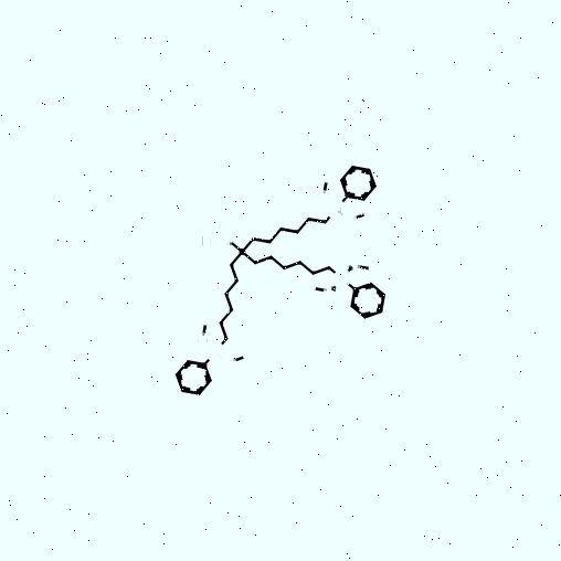 CO[Si](CCCCCCC([SiH3])(CCCCCC[Si](OC)(OC)c1ccccc1)CCCCCC[Si](OC)(OC)c1ccccc1)(OC)c1ccccc1